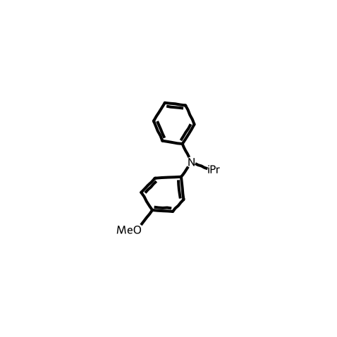 COc1ccc(N(c2ccccc2)C(C)C)cc1